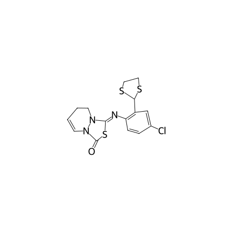 O=c1sc(=Nc2ccc(Cl)cc2C2SCCS2)n2n1C=CCC2